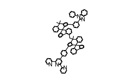 CC1(C)c2ccccc2C2(c3ccccc3-c3c(CC4(C)c5ccccc5C5(c6ccccc6-c6ccccc65)c5cc(-c6ccc(-c7cc(-c8ccccn8)nc(-c8ccccn8)c7)cc6)ccc54)cccc32)c2cc(-c3cccc(-c4nc5ccccc5n4-c4ccccc4)c3)ccc21